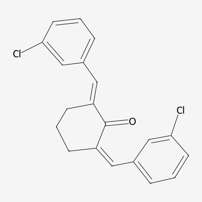 O=C1/C(=C\c2cccc(Cl)c2)CCC/C1=C\c1cccc(Cl)c1